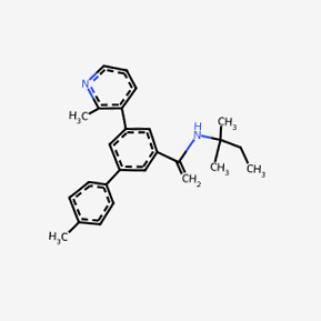 C=C(NC(C)(C)CC)c1cc(-c2ccc(C)cc2)cc(-c2cccnc2C)c1